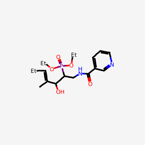 CCC=C(C)C(O)C(CNC(=O)c1cccnc1)P(=O)(OCC)OCC